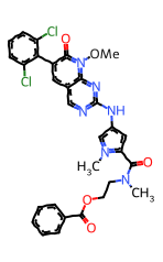 COn1c(=O)c(-c2c(Cl)cccc2Cl)cc2cnc(Nc3cc(C(=O)N(C)CCOC(=O)c4ccccc4)n(C)c3)nc21